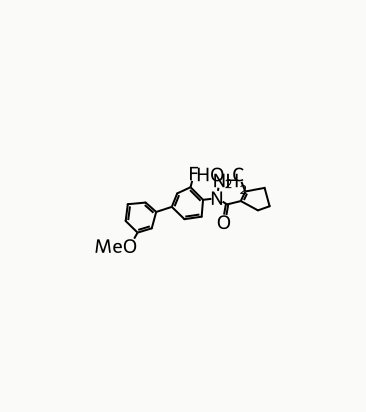 COc1cccc(-c2ccc(N(N)C(=O)C3=C(C(=O)O)CCC3)c(F)c2)c1